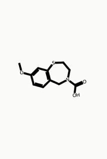 COc1ccc2c(c1)SCCN(C(=O)O)C2